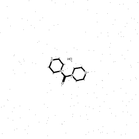 Cl.O=C(N1CCOCC1)N1CCOCC1